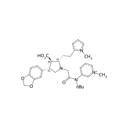 CCCCN(C(=O)CN1C[C@H](c2ccc3c(c2)OCO3)[C@@H](C(=O)O)[C@@H]1CCc1cccn1C)c1ccc[n+](C)c1